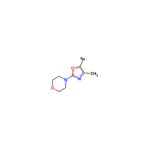 [2H]c1oc(N2CCOCC2)nc1C